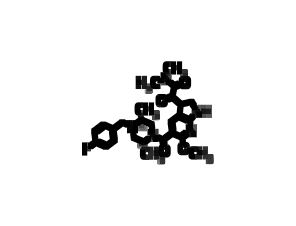 COc1nc2c(cc1C(=O)N1C[C@H](C)N(Cc3ccc(F)cc3)C[C@H]1C)C(C(=O)C(=O)N(C)C)CN2